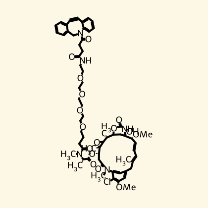 COc1cc2cc(c1Cl)N(C)C(=O)C[C@H](OC(=O)[C@H](C)N(C)C(=O)CCCOCCOCCOCCOCCNC(=O)CCC(=O)N1Cc3ccccc3C#Cc3ccccc31)[C@]1(C)OC1[C@H](C)C1C[C@@](O)(NC(=O)O1)[C@H](OC)/C=C/C=C(\C)C2